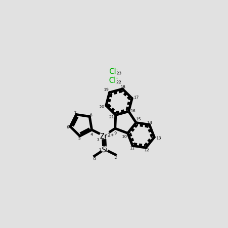 C[Si](C)=[Zr+2]([C]1=CC=CC1)[CH]1c2ccccc2-c2ccccc21.[Cl-].[Cl-]